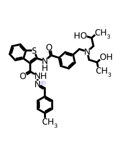 Cc1ccc(/C=N/NC(=O)c2c(NC(=O)c3cccc(CN(CC(C)O)CC(C)O)c3)sc3ccccc23)cc1